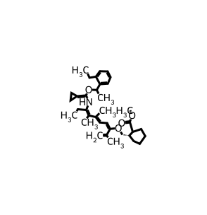 C=C(C)\C(=C/C=C(C)/C(C)=C(/CC)NC(OC(C)c1ccccc1CC)=C1CC1)OC[C@H]1CCCCC1C(=O)OC